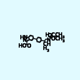 CC(CNC(=O)OC(C)(C)C)c1ccc(-c2ccc3[nH]nc(C(=O)O)c3c2)cc1